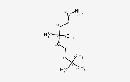 CC(C)(C)CCOC(C)(C)CCON